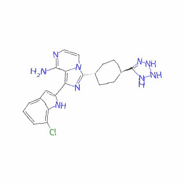 Nc1nccn2c1c(-c1cc3cccc(Cl)c3[nH]1)nc2[C@H]1CC[C@H](C2=NNNN2)CC1